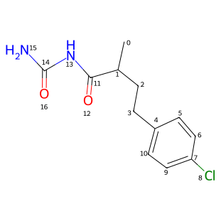 CC(CCc1ccc(Cl)cc1)C(=O)NC(N)=O